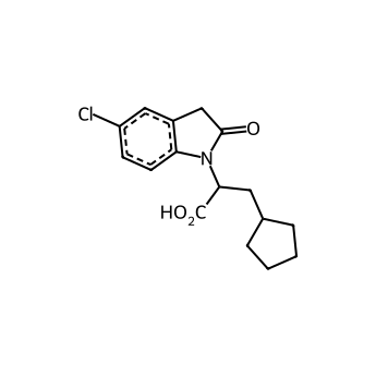 O=C(O)C(CC1CCCC1)N1C(=O)Cc2cc(Cl)ccc21